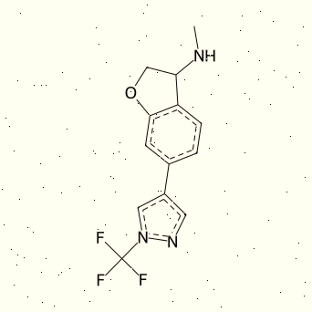 CNC1COc2cc(-c3cnn(C(F)(F)F)c3)ccc21